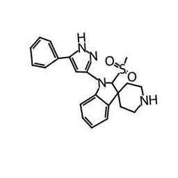 CS(=O)(=O)C1N(c2cc(-c3ccccc3)[nH]n2)c2ccccc2C12CCNCC2